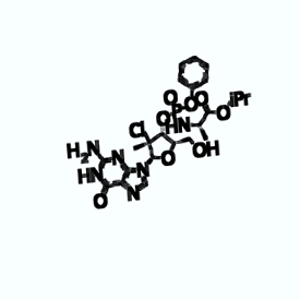 CC(C)OC(=O)[C@@H](C)NP(=O)(Oc1ccccc1)O[C@@H]1[C@@H](CO)O[C@@H](n2cnc3c(=O)[nH]c(N)nc32)[C@]1(C)Cl